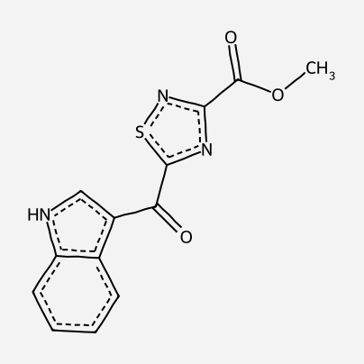 COC(=O)c1nsc(C(=O)c2c[nH]c3ccccc23)n1